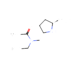 CCOC(=O)[C@@H]1CC[C@@H](CN(CC(=O)O)C(=O)OC)N1